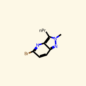 CCCc1c2nc(Br)ccc2nn1C